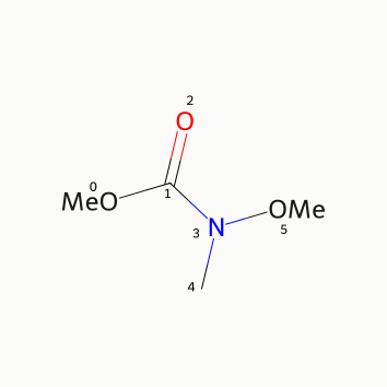 [CH2]OC(=O)N(C)OC